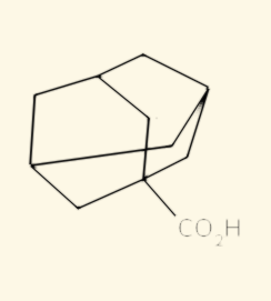 O=C(O)C12[CH]C3CC(CC(C3)C1)C2